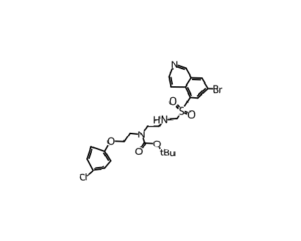 CC(C)(C)OC(=O)N(CCNCS(=O)(=O)c1cc(Br)cc2cnccc12)CCOc1ccc(Cl)cc1